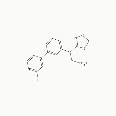 O=C(O)CC(c1cccc(-c2ccnc(F)c2)c1)c1nccs1